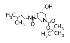 CC(C)CCNC(=O)[C@H]1C[C@H](CO)CN(C(=O)OC(C)(C)C)C1